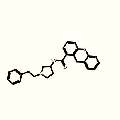 O=C(NC1CCN(CCc2ccccc2)C1)c1cccc2c1[CH]c1ccccc1S2